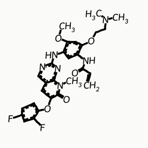 C=CC(=O)Nc1cc(Nc2ncc3cc(Oc4ccc(F)cc4F)c(=O)n(C)c3n2)c(OC)cc1OCCN(C)C